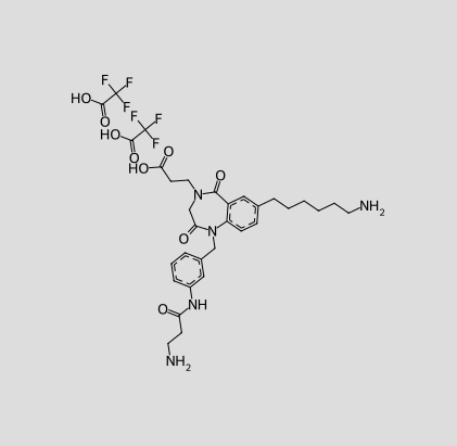 NCCCCCCc1ccc2c(c1)C(=O)N(CCC(=O)O)CC(=O)N2Cc1cccc(NC(=O)CCN)c1.O=C(O)C(F)(F)F.O=C(O)C(F)(F)F